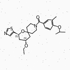 CCO[C@H]1C[C@@H](c2cncs2)OC2(CCN(C(=O)c3ccc(OC(C)C)c(C)c3)CC2)C1